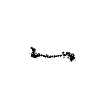 Cc1nc(=O)c2cc(CN(C)c3ccc(C(=O)N[C@@H](CCC(=O)NCCOCCOCCOCCOCc4cn(CCCCCOc5ncc(-c6nc7c(N[C@@H](C)c8cc(C#N)ccc8F)c(Cl)c(C)nc7cc6F)cn5)nn4)C(=O)O)s3)ccc2[nH]1